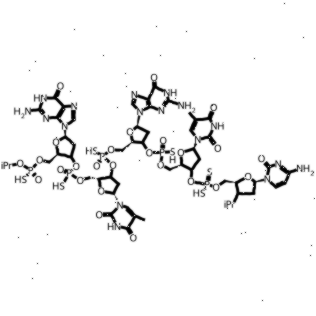 Cc1cn([C@H]2CC(OP(=O)(S)OC[C@H]3O[C@@H](n4cnc5c(=O)[nH]c(N)nc54)CC3OP(=O)(S)OC[C@H]3O[C@@H](n4cc(C)c(=O)[nH]c4=O)CC3OP(=S)(S)OC[C@H]3O[C@@H](n4ccc(N)nc4=O)CC3C(C)C)[C@@H](COP(=O)(S)OC3C[C@H](n4cnc5c(=O)[nH]c(N)nc54)O[C@@H]3COP(=O)(S)OC(C)C)O2)c(=O)[nH]c1=O